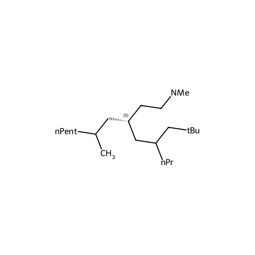 CCCCCC(C)C[C@H](CCNC)CC(CCC)CC(C)(C)C